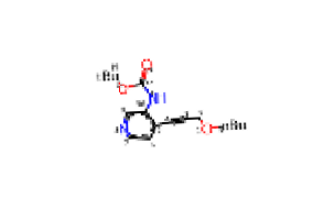 CCCCOCC#Cc1ccncc1NC(=O)OC(C)(C)C